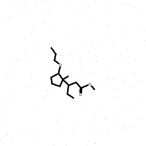 CCCOC1CCCC1(C)C(CC)CC(=O)OC